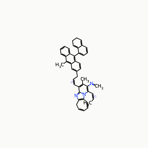 C=Nc1c(C)c(/C=C\Cc2ccc3c(-c4cccc5c4=CCCC=5)c4ccccc4c(C)c3c2)c2nc3c(n2c1/C=C\C)C=CC=CC3